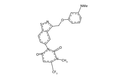 CNc1cccc(OCc2nsc3ccc(-n4c(=O)cc(C(F)(F)F)n(C)c4=O)cc23)c1